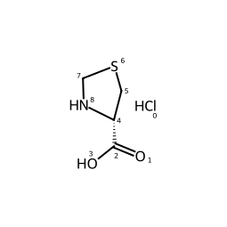 Cl.O=C(O)[C@H]1CSCN1